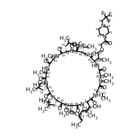 C/C=C/C[C@@H](C)[C@@H](O)[C@H]1C(=O)N[C@@H](CC)C(=O)N(C)[C@H](C)C(=O)N[C@@H]([C@H](C)COCC(=O)N2CCN(CC(F)(F)F)CC2)C(=O)N[C@@H](C(C)C)C(=O)N(C)[C@@H](CC(C)C)C(=O)N[C@@H](C)C(=O)N[C@H](C)C(=O)N(C)[C@@H](CC(C)C)C(=O)N(C)[C@@H](CC(C)C)C(=O)N(C)[C@@H](C(C)C)C(=O)N1C